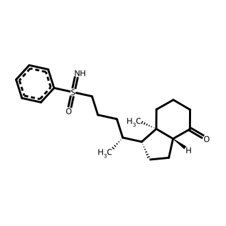 C[C@H](CCCS(=N)(=O)c1ccccc1)[C@H]1CC[C@H]2C(=O)CCC[C@]12C